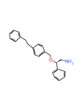 NC[C@H](OCc1ccc(CCc2ccccc2)cc1)c1ccccc1